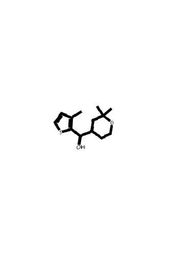 Cc1ccsc1C(O)C1CCOC(C)(C)C1